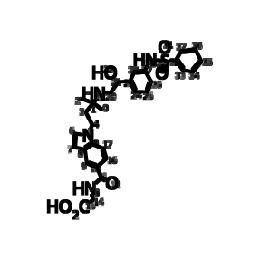 CC(C)(CCn1ccc2cc(C(=O)NCC(=O)O)ccc21)NC[C@H](O)c1cccc(NS(=O)(=O)c2ccccc2)c1